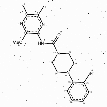 COc1nc(C)c(C)nc1NC(=O)N1CCN(c2ccccc2C(C)C)CC1